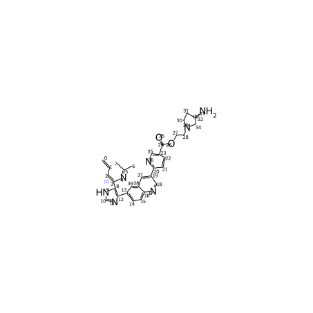 C=C/C=C(\N=C(C)C)c1[nH]cnc1-c1ccc2ncc(-c3ccc(C(=O)OCCN4CC[C@@H](N)C4)cn3)cc2c1